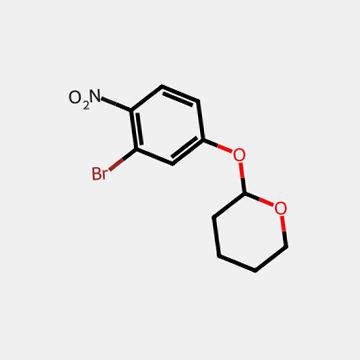 O=[N+]([O-])c1ccc(OC2CCCCO2)cc1Br